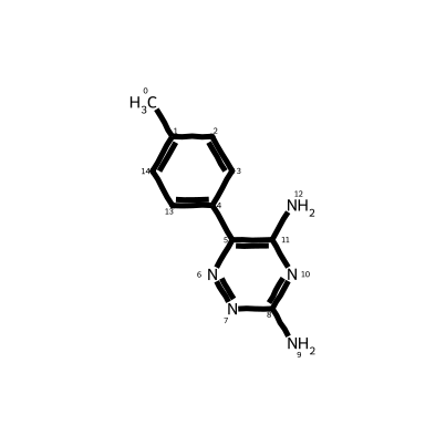 Cc1ccc(-c2nnc(N)nc2N)cc1